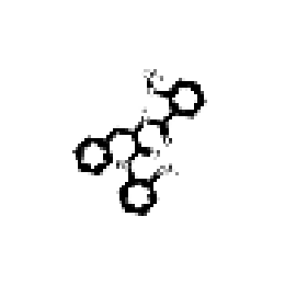 COc1ccccc1C(=O)NC(Cc1ccccc1)C(=O)Nc1ccccc1C